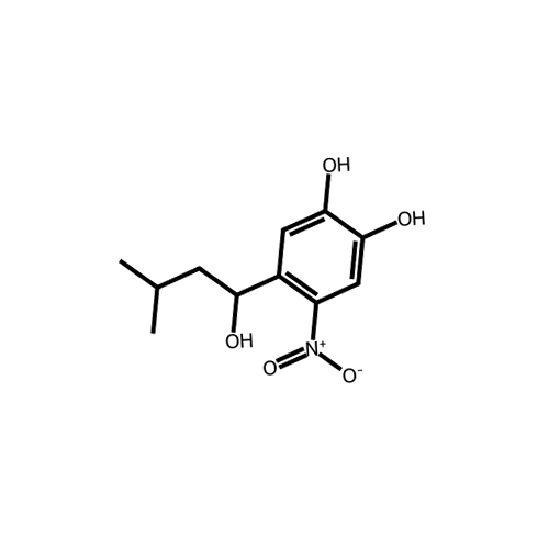 CC(C)CC(O)c1cc(O)c(O)cc1[N+](=O)[O-]